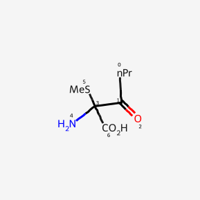 CCCC(=O)C(N)(SC)C(=O)O